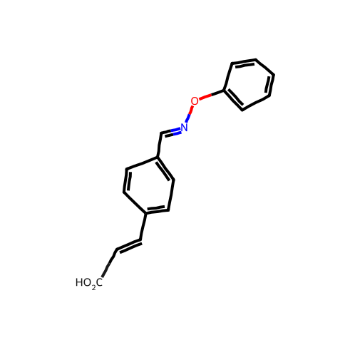 O=C(O)C=Cc1ccc(C=NOc2ccccc2)cc1